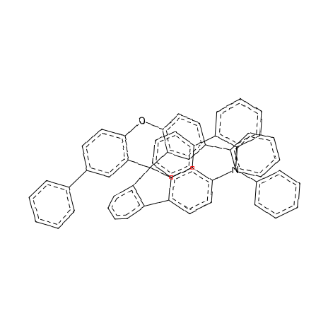 c1ccc(-c2ccc3c(c2)C2(c4cc(-c5ccccc5)ccc4O3)c3ccccc3-c3ccc(N(c4ccccc4)c4ccccc4-c4ccccc4)cc32)cc1